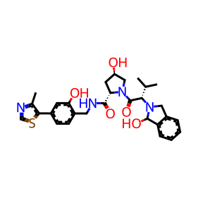 Cc1ncsc1-c1ccc(CNC(=O)[C@@H]2C[C@@H](O)CN2C(=O)[C@H](C(C)C)N2Cc3ccccc3C2O)c(O)c1